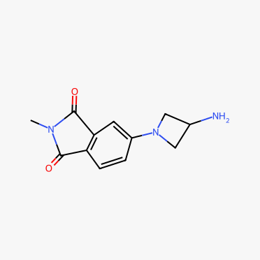 CN1C(=O)c2ccc(N3CC(N)C3)cc2C1=O